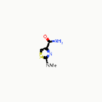 CNc1nc(C(N)=O)cs1